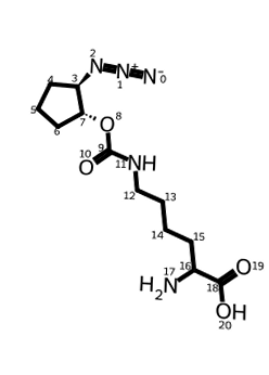 [N-]=[N+]=N[C@@H]1CCC[C@H]1OC(=O)NCCCCC(N)C(=O)O